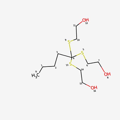 CCCCC(SCCO)(SCCO)SCCO